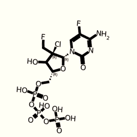 Nc1nc(=O)n([C@@H]2O[C@H](COP(=O)(O)OP(=O)(O)OP(=O)(O)O)C(O)[C@]2(Cl)CF)cc1F